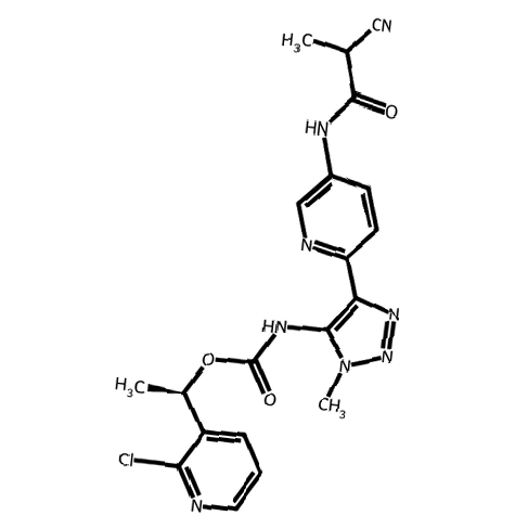 CC(C#N)C(=O)Nc1ccc(-c2nnn(C)c2NC(=O)O[C@H](C)c2cccnc2Cl)nc1